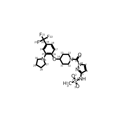 CS(=O)(=O)Nc1ccn(C(=O)N2CCC(Oc3ccc(C(F)(F)F)cc3N3CCCC3)CC2)n1